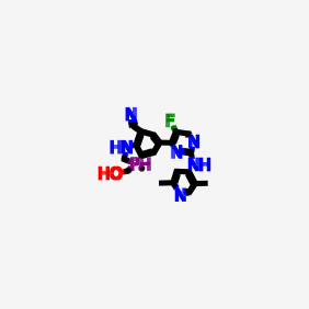 Cc1cc(Nc2ncc(F)c(-c3cc(C#N)c4c(c3)[PH](C)(CO)CN4)n2)c(C)cn1